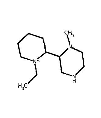 CC[N+]1CCCCC1C1CNCCN1C